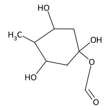 CC1C(O)CC(O)(OC=O)CC1O